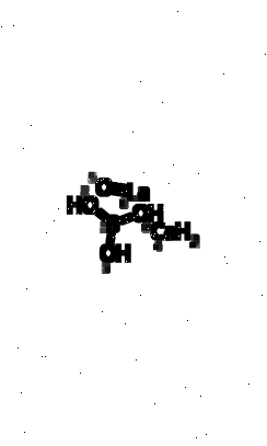 OB(O)O.[CaH2].[O]=[La]